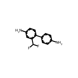 Nc1ccc(-c2ccc(N)cc2C(F)F)cc1